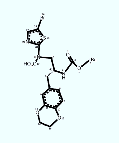 CC(C)(C)OC(=O)N[C@H](Cc1ccc2c(c1)OCCO2)CN(C(=O)O)c1ncc(Br)s1